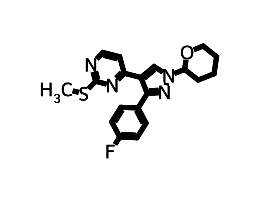 CSc1nccc(-c2cn(C3CCCCO3)nc2-c2ccc(F)cc2)n1